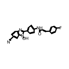 N#Cc1ccc2nc(-c3ccc(NC(=O)/C=C/c4ccc(F)cc4)cc3)n(O)c2c1